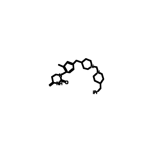 C=C1CCN(c2ccc(CC3CCN(CN4CCC(CC(C)C)CC4)CC3)cc2C)C(=O)N1